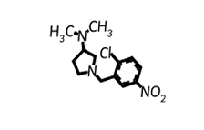 CN(C)C1CCN(Cc2cc([N+](=O)[O-])ccc2Cl)C1